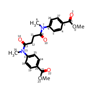 COC(=O)c1ccc(N(C)C(=O)CCC(=O)N(C)c2ccc(C(=O)OC)cc2)cc1